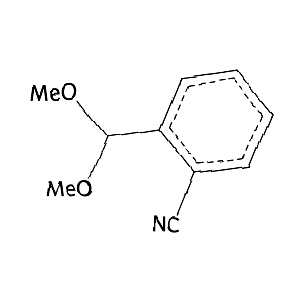 COC(OC)c1ccccc1C#N